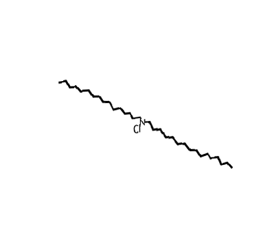 CCCCCCCCCCCCCCCCN(Cl)CCCCCCCCCCCCCCCC